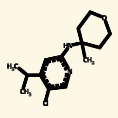 CC(C)c1cc(NC2(C)CCOCC2)ncc1Cl